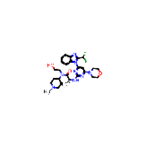 C[C@H](Nc1nc(N2CCOCC2)cc(-n2c(C(F)F)nc3ccccc32)n1)C(=O)N(CCO)C1CCN(C)CC1